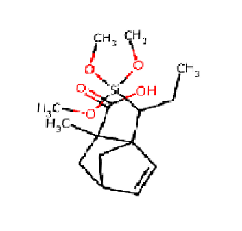 CCC(C12C=CC(CC1(C)C(=O)O)C2)[Si](OC)(OC)OC